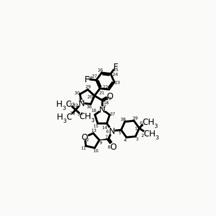 CC1(C)CCC(N(C(=O)[C@H]2CCOC2)C2CCN(C(=O)C3(c4ccc(F)cc4F)CCN(C(C)(C)C)C3)C2)CC1